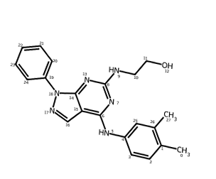 Cc1ccc(Nc2nc(NCCO)nc3c2cnn3-c2ccccc2)cc1C